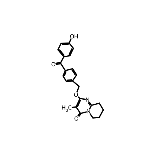 Cc1c(OCc2ccc(C(=O)c3ccc(O)cc3)cc2)nc2n(c1=O)CCCC2